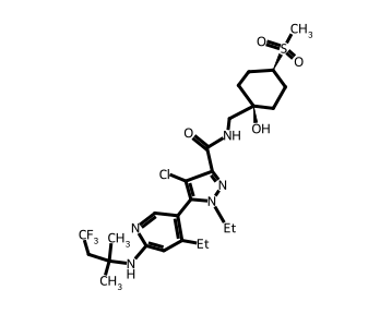 CCc1cc(NC(C)(C)CC(F)(F)F)ncc1-c1c(Cl)c(C(=O)NC[C@]2(O)CC[C@@H](S(C)(=O)=O)CC2)nn1CC